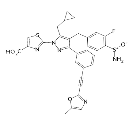 Cc1cnc(C#Cc2cccc(-c3nn(-c4nc(C(=O)O)cs4)c(CC4CC4)c3Cc3ccc([S+](N)[O-])c(F)c3)c2)o1